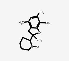 CC(=O)N1CCCCC1C1(C)Cc2c(C)cc(C)c(C)c2O1